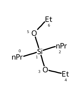 CCC[Si](CCC)(OCC)OCC